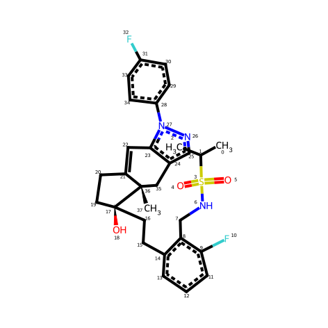 CC(C)S(=O)(=O)NCc1c(F)cccc1CC[C@]1(O)CCC2=Cc3c(cnn3-c3ccc(F)cc3)C[C@@]21C